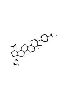 C=C(C)[C@@H]1CC[C@]2(c3nnco3)CC[C@]3(C)[C@H](CC[C@@H]4[C@@]5(C)CC=C(c6ccc(C(=O)OC)cc6)C(C)(C)[C@@H]5CC[C@]43C)[C@@H]12